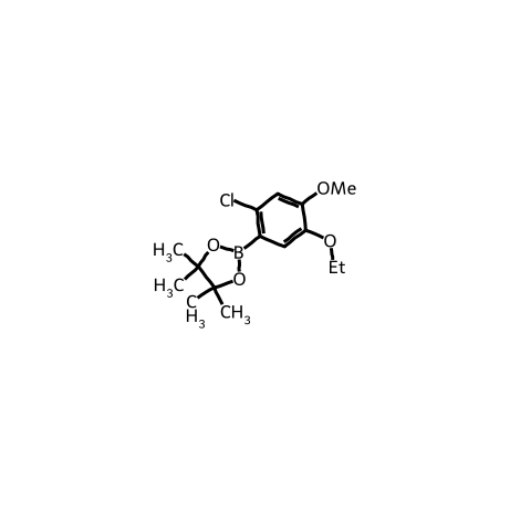 CCOc1cc(B2OC(C)(C)C(C)(C)O2)c(Cl)cc1OC